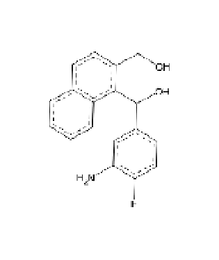 Nc1cc(C(O)c2c(CO)ccc3ccccc23)ccc1F